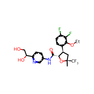 CCOc1c([C@H]2C[C@@](C)(C(F)(F)F)O[C@@H]2C(=O)Nc2ccc([C@@H](O)CO)nc2)ccc(F)c1F